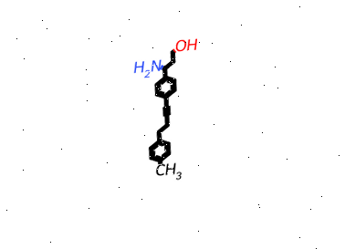 Cc1ccc(CCC#Cc2ccc(C(N)CCO)cc2)cc1